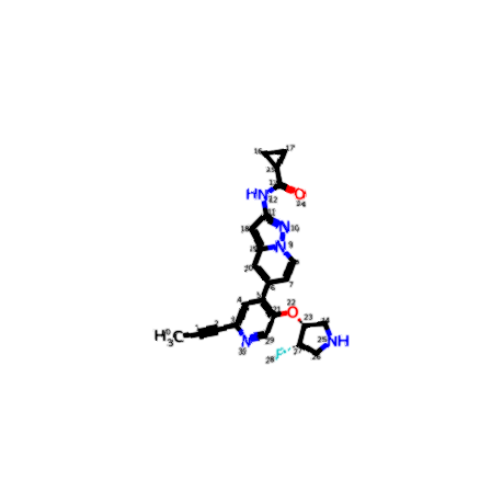 CC#Cc1cc(-c2ccn3nc(NC(=O)C4CC4)cc3c2)c(O[C@@H]2CNC[C@@H]2F)cn1